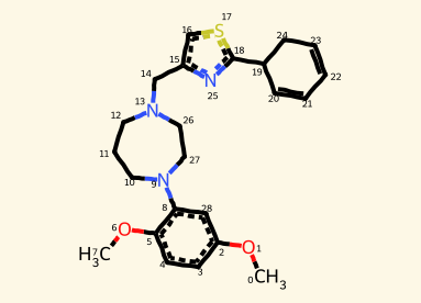 COc1ccc(OC)c(N2CCCN(Cc3csc(C4C=CC=CC4)n3)CC2)c1